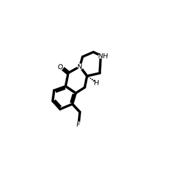 O=C1c2cccc(CF)c2C[C@@H]2CNCCN12